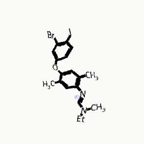 CCN(C)/C=N/c1cc(C)c(Oc2ccc(I)c(Br)c2)cc1C